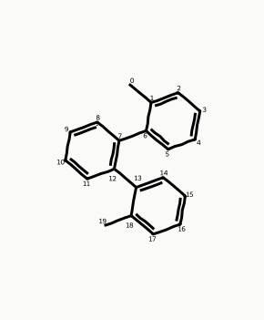 Cc1ccccc1-c1[c]cccc1-c1ccccc1C